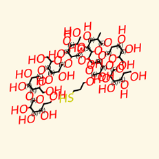 CC1[C@H](OC2[C@H](O[C@@H]3C(CO[C@@H]4OC(CO)[C@@H](O)[C@H](O)C4O[C@H]4OC(CO)[C@@H](O[C@@H]5OC(CO)[C@H](O[C@H]6OC(CO)[C@H](O)[C@H](O)C6O)[C@H](O)C5O)[C@H](O)C4O)O[C@H](OCCCS)C(O)[C@H]3O[C@@H]3OC(CO)[C@@H](O)[C@H](O)C3O)OC(CO)[C@@H](O)[C@@H]2O)OC(CO)[C@@H](O)[C@@H]1O